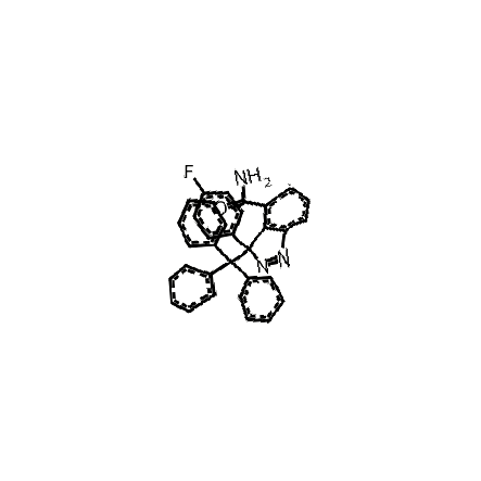 NC(=O)c1[c]ccc2c1C(c1ccc(F)cc1)(C(c1ccccc1)(c1ccccc1)c1ccccc1)N=N2